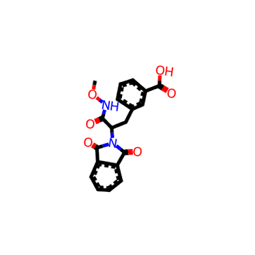 CONC(=O)C(Cc1cccc(C(=O)O)c1)N1C(=O)c2ccccc2C1=O